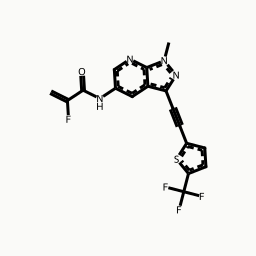 C=C(F)C(=O)Nc1cnc2c(c1)c(C#Cc1ccc(C(F)(F)F)s1)nn2C